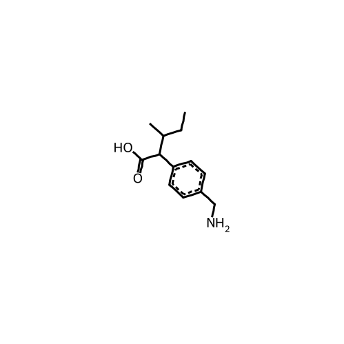 CCC(C)C(C(=O)O)c1ccc(CN)cc1